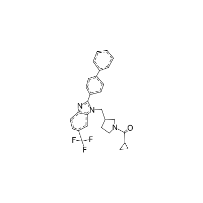 O=C(C1CC1)N1CCC(Cn2c(-c3ccc(-c4ccccc4)cc3)nc3ccc(C(F)(F)F)cc32)C1